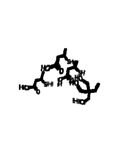 CC(S)CC(=O)O.CC(S)CC(=O)O.CC(S)CC(=O)O.CCC(CO)(CO)CO